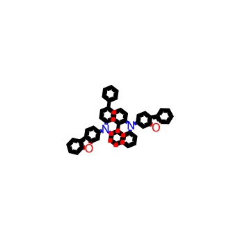 c1ccc(-c2ccc(N(c3ccc4c(c3)oc3ccccc34)c3ccccc3-c3ccccc3N(c3ccc4c(c3)oc3ccccc34)c3cccc4ccccc34)cc2)cc1